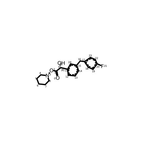 O=C(ON1CCCCC1)[C@H](O)c1cccc(Cc2ccc(F)cc2)c1